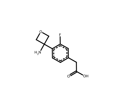 NC1(c2ccc(CC(=O)O)cc2F)COC1